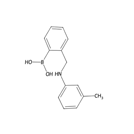 Cc1cccc(NCc2ccccc2B(O)O)c1